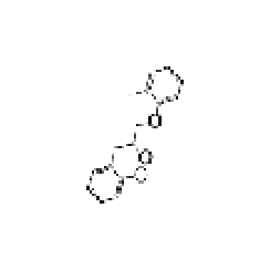 Cc1ccccc1OCC1Cc2ccccc2OO1